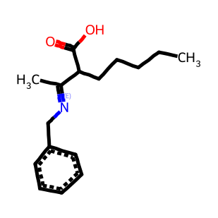 CCCCCC(C(=O)O)/C(C)=N/Cc1ccccc1